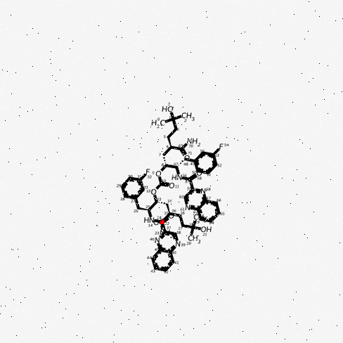 CC(C)(O)CC[C@H](C[C@@H](OC(=O)O[C@H](C[C@@H](CCC(C)(C)O)C(N)=O)[C@H](Cc1cccc(F)c1)NC(=O)c1cnc2ccccc2n1)[C@H](Cc1cccc(F)c1)NC(=O)c1cnc2ccccc2n1)C(N)=O